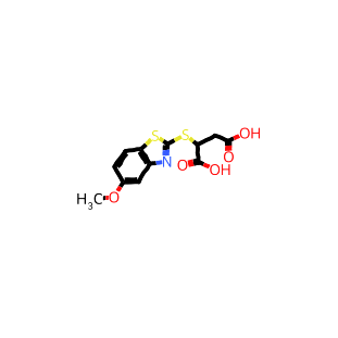 COc1ccc2sc(SC(CC(=O)O)C(=O)O)nc2c1